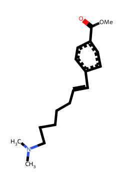 COC(=O)c1ccc(C=CCCCCCN(C)C)cc1